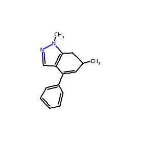 CC1C=C(c2ccccc2)c2cnn(C)c2C1